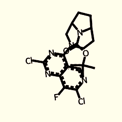 CC(C)(C)OC(=O)N1C2CCC1CN(c1nc(Cl)nc3c(F)c(Cl)ncc13)CC2